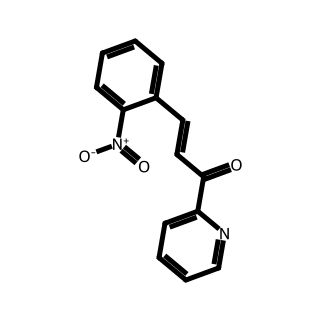 O=C(C=Cc1ccccc1[N+](=O)[O-])c1ccccn1